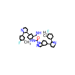 Cc1cc(-c2ncccc2-c2ccc(NC(=O)n3ncc4cc(-c5cccnc5-c5ccc(F)c(C)c5)ccc43)c(C=N)c2)ccc1F